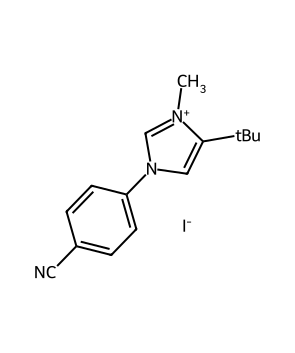 C[n+]1cn(-c2ccc(C#N)cc2)cc1C(C)(C)C.[I-]